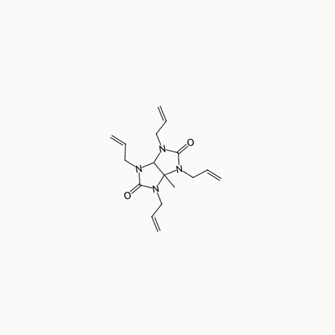 C=CCN1C(=O)N(CC=C)C2(C)C1N(CC=C)C(=O)N2CC=C